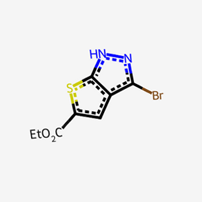 CCOC(=O)c1cc2c(Br)n[nH]c2s1